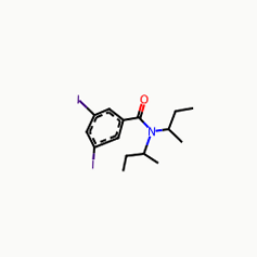 CCC(C)N(C(=O)c1cc(I)cc(I)c1)C(C)CC